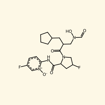 O=CN(O)CC(CC1CCCC1)C(=O)N1CC(F)CC1C(=O)Nc1ccc(F)c[n+]1[O-]